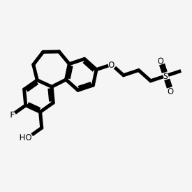 CS(=O)(=O)CCCOc1ccc2c(c1)CCCc1cc(F)c(CO)cc1-2